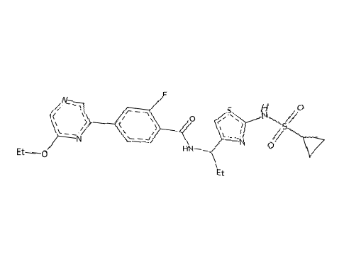 CCOc1cncc(-c2ccc(C(=O)NC(CC)c3csc(NS(=O)(=O)C4CC4)n3)c(F)c2)n1